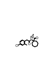 COC(=O)C1(NC(=O)Cc2ccc(Cl)cc2C)CCCCCC1